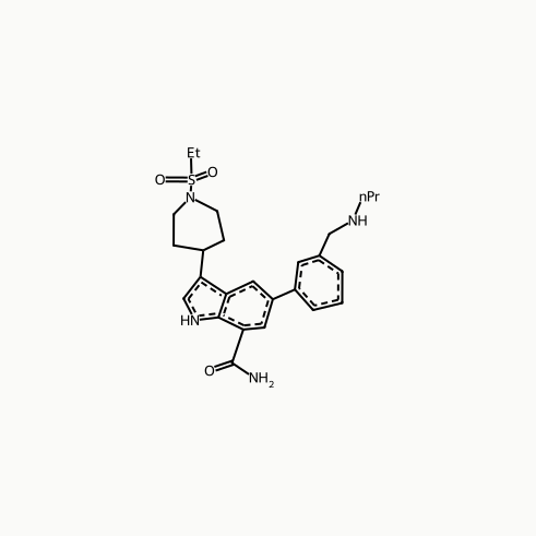 CCCNCc1cccc(-c2cc(C(N)=O)c3[nH]cc(C4CCN(S(=O)(=O)CC)CC4)c3c2)c1